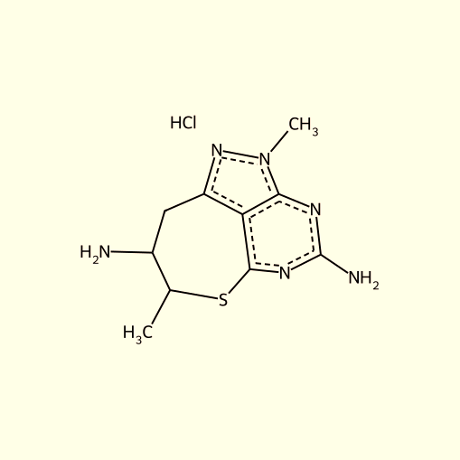 CC1Sc2nc(N)nc3c2c(nn3C)CC1N.Cl